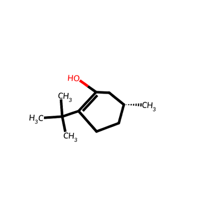 C[C@@H]1CCC(C(C)(C)C)=C(O)C1